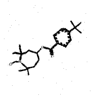 CC(C)(C)c1ccc(C(=O)OC2CCC(C)(C)N(O)C(C)(C)C2)cc1